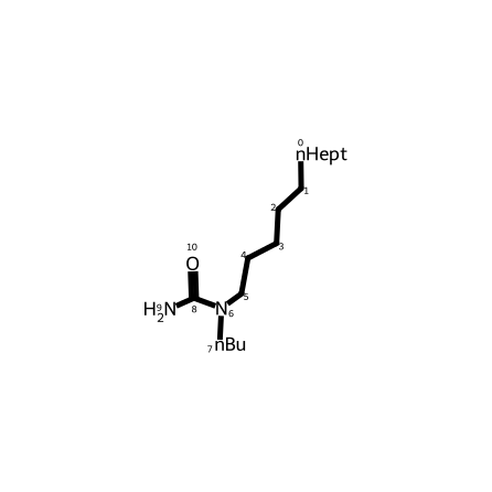 CCCCCCCCCCCCN(CCCC)C(N)=O